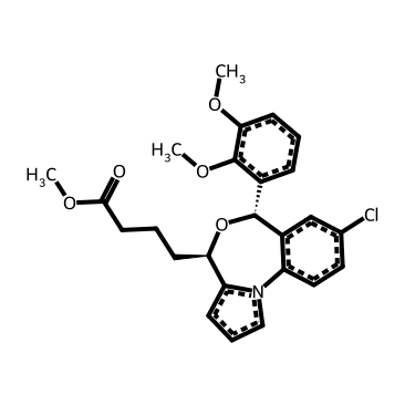 COC(=O)CCC[C@H]1O[C@H](c2cccc(OC)c2OC)c2cc(Cl)ccc2-n2cccc21